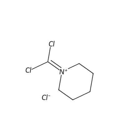 ClC(Cl)=[N+]1CCCCC1.[Cl-]